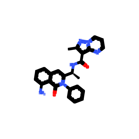 Cc1nn2cccnc2c1C(=O)N[C@H](C)c1cc2cccc(N)c2c(=O)n1-c1ccccc1